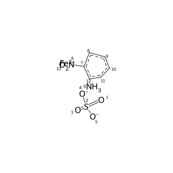 N.O=S(=O)([O-])[O-].O=[N+]([O-])c1ccccc1.[Fe+2]